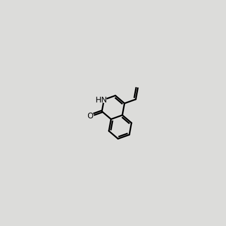 C=Cc1c[nH]c(=O)c2ccccc12